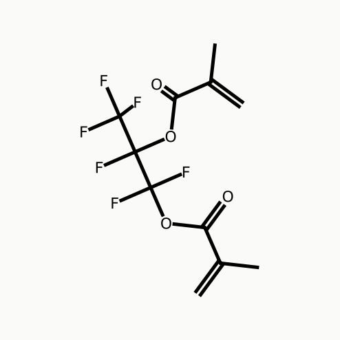 C=C(C)C(=O)OC(F)(F)C(F)(OC(=O)C(=C)C)C(F)(F)F